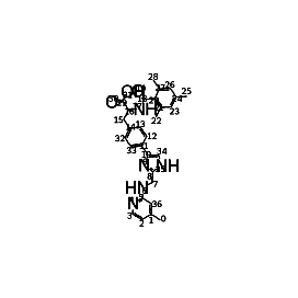 Cc1ccnc(NCc2nc(-c3ccc(CC(NC(=O)c4c(C)cc(C)cc4C)C(=O)O)cc3)c[nH]2)c1